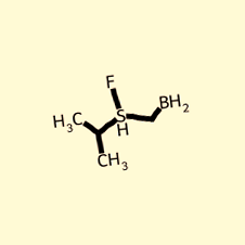 BC[SH](F)C(C)C